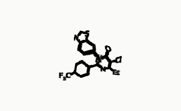 CCc1nc(C2CCC(C(F)(F)F)CC2)n(-c2ccc3ncsc3c2)c(=O)c1Cl